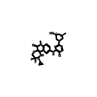 C[C@@H]1C[C@H](O)CN(c2ncc(Cl)c(Nc3ccc4c(c3)c3c(c(=O)n4C)OCC(F)(F)[C@H](C4CC4)N3)n2)C1